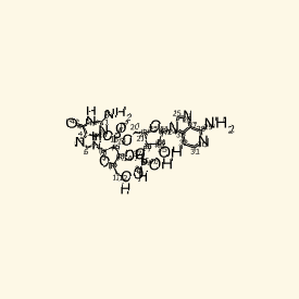 Nc1nc2c(ncn2[C@@H]2O[C@H](CO)[C@@H](O)[C@H]2P(=O)(O)OC[C@H]2O[C@@H](n3cnc4c(N)nccc43)[C@H](O)[C@@H]2O[PH](=O)O)c(=O)[nH]1